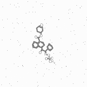 CS(=O)(=O)O/N=C(/C(=O)c1ccc(C(=O)OC2CCC3OC3C2)c2ccccc12)c1ccccc1